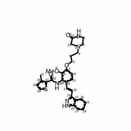 COc1c(OCCCN2CCNC(=O)C2)ccc(C=Cc2n[nH]c3ccccc23)c1NC(=O)c1sccc1C